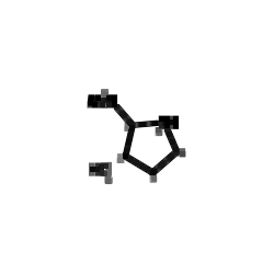 CNC1CCCN1.Cl